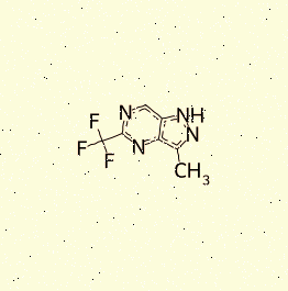 Cc1n[nH]c2cnc(C(F)(F)F)nc12